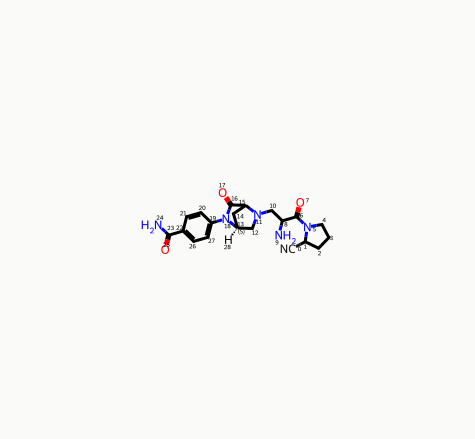 N#CC1CCCN1C(=O)C(N)CN1C[C@@H]2CC1C(=O)N2c1ccc(C(N)=O)cc1